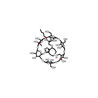 CCCCCNC(=O)COC1CCCCCc2c1nnn2CC1OC2OC3C(C)OC(OC4C(CO)OC(OC5C(CO)OC(OC6C(CO)OC(OC7C(CO)OC(OC1C(O)C2O)C(O)C7O)C(O)C6O)C(O)C5O)C(O)C4O)C(O)C3O